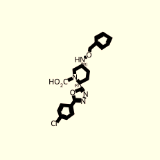 O=C(O)N1C[C@H](NOCc2ccccc2)CC[C@@H]1c1nnc(-c2ccc(Cl)cc2)o1